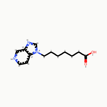 O=C(O)CCCCCCn1cnc2cnccc21